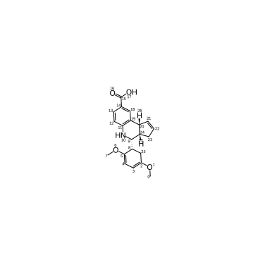 COC1=CC=C(OC)C([C@@H]2Nc3ccc(C(=O)O)cc3[C@@H]3C=CC[C@@H]32)C1